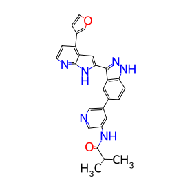 CC(C)C(=O)Nc1cncc(-c2ccc3[nH]nc(-c4cc5c(-c6ccoc6)ccnc5[nH]4)c3c2)c1